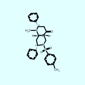 Cc1ccc(S(=O)(=O)N2C[C@H]3C(=O)C[C@@H](c4ccccc4)N(C)[C@H]3C[C@H]2c2ccccc2)cc1